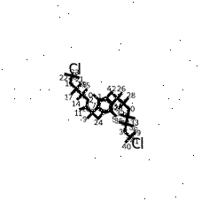 Cc1c2c(c(C)c3c1C(C)(C(C)CC(C)(C)C(C)(C)CC(C)(C)Cl)C3)C(C)(C(C)(C)CC(C)(C)C(C)(C)CC(C)(C)Cl)C2